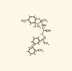 Cc1ccc(CC(C)(C)NC[C@@H](O)COC(C)c2cccc(-c3ccccc3C)c2)c(F)c1